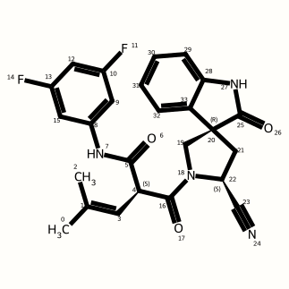 CC(C)=C[C@@H](C(=O)Nc1cc(F)cc(F)c1)C(=O)N1C[C@]2(C[C@H]1C#N)C(=O)Nc1ccccc12